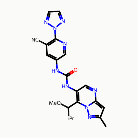 COC(c1c(NC(=O)Nc2cnc(-n3nccn3)c(C#N)c2)cnc2cc(C)nn12)C(C)C